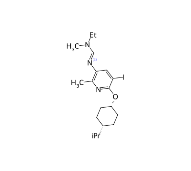 CCN(C)/C=N/c1cc(I)c(O[C@H]2CC[C@@H](C(C)C)CC2)nc1C